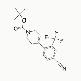 CC(C)(C)OC(=O)N1CC=C(c2ccc(C#N)cc2C(F)(F)F)CC1